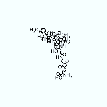 CN[C@H](C(=O)NC(C(=O)N(C)[C@H](/C=C(\C)C(=O)N[C@H](CCC(=O)NCCN1C(=O)CC(SC[C@H](N)C(=O)O)C1=O)C(=O)O)C(C)C)C(C)(C)C)C(C)(C)c1cccc(OC)c1